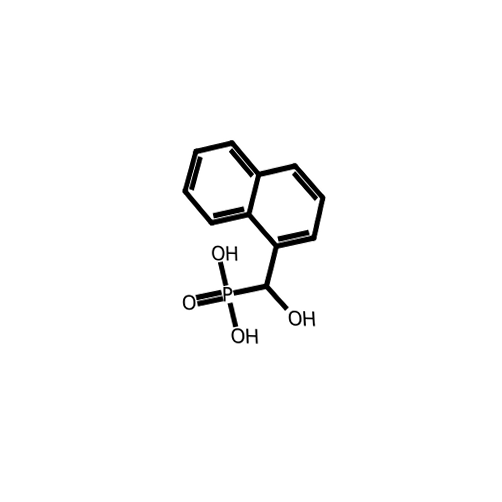 O=P(O)(O)C(O)c1cccc2ccccc12